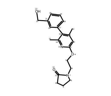 Cc1cc(OCCN2CCCC2=O)nc(C)c1-c1cccc(CO)c1